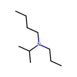 CCCCN(CCC)C(C)C